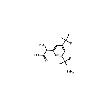 CC(C(=O)O)c1cc(C(F)(F)F)cc(C(F)(F)F)c1.[BaH2]